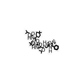 CCC[C@H](NC(=O)[C@@H]1CC(C)(C)CN1C(=O)[C@@H](NC(=O)OCC(C)C)C1CCC(C)(C)CC1)C(=O)C(=O)NCC(=O)N[C@H](C(=O)N(C)C)c1ccccc1